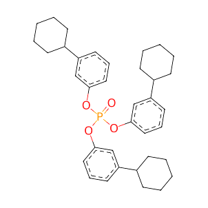 O=P(Oc1cccc(C2CCCCC2)c1)(Oc1cccc(C2CCCCC2)c1)Oc1cccc(C2CCCCC2)c1